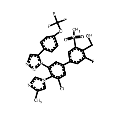 Cc1cn(-c2c(Cl)cc(-c3cc(F)c(CO)c(S(C)(=O)=O)c3)cc2-n2nncc2-c2ccc(OC(F)(F)F)cc2)cn1